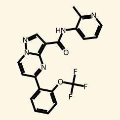 Cc1ncccc1NC(=O)c1cnn2ccc(-c3ccccc3OC(F)(F)F)nc12